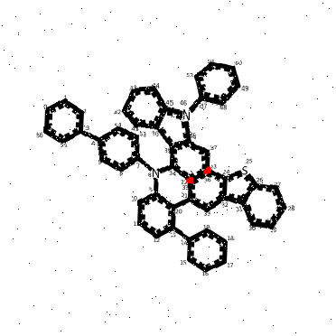 c1ccc(-c2ccc(N(c3cccc(-c4ccccc4)c3-c3ccc4sc5ccccc5c4c3)c3cccc4c3c3ccccc3n4-c3ccccc3)cc2)cc1